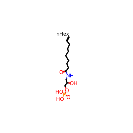 CCCCCC/C=C/CCCCCCCC(=O)NCC(O)COP(=O)(O)O